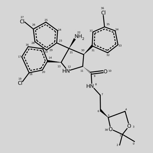 CC1(C)OC[C@H](CCNC(=O)[C@@H]2N[C@@H](c3cccc(Cl)c3)[C@](N)(c3ccc(Cl)cc3)[C@H]2c2cccc(Cl)c2)O1